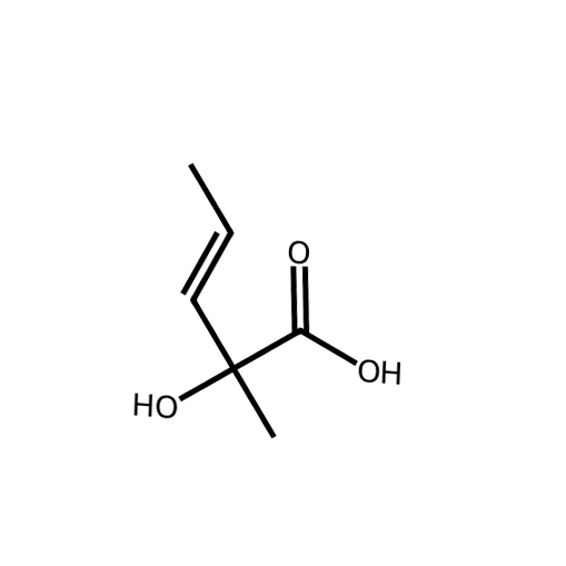 CC=CC(C)(O)C(=O)O